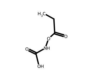 CCC(=O)ONC(=O)O